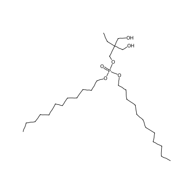 CCCCCCCCCCCCOP(=O)(OCCCCCCCCCCCC)OCC(CC)(CO)CO